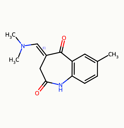 Cc1ccc2c(c1)C(=O)/C(=C/N(C)C)CC(=O)N2